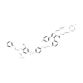 CN(C)CC[C@H](CSc1ccccc1)Nc1ccc(S(=O)(=O)Nc2ccc(NCCNc3cccc(-c4c(-c5ccc(Cl)cc5)cn(CC[C@H](O)CO)c4C(=O)NCCCN4CCN(C)CC4)c3)cc2)cc1[N+](=O)[O-]